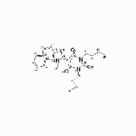 CCCCN1C(=O)C(=C2Sc3ccc4ccccc4c3N2C)C(=O)N(CCCC)C1=S